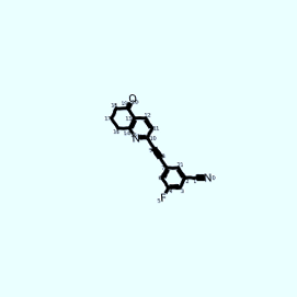 N#Cc1cc(F)cc(C#Cc2ccc3c(n2)CCCC3=O)c1